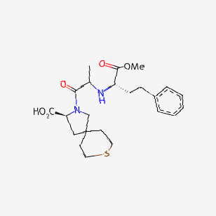 COC(=O)[C@H](CCc1ccccc1)NC(C)C(=O)N1CC2(CCSCC2)C[C@H]1C(=O)O